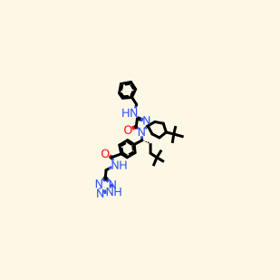 CC(C)(C)CC[C@H](c1ccc(C(=O)NCc2nn[nH]n2)cc1)N1C(=O)C(NCc2ccccc2)=NC12CCC(C(C)(C)C)CC2